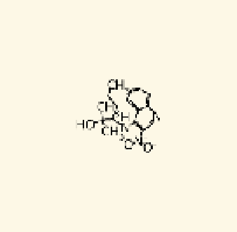 CCC[C@@H](Nc1c([N+](=O)[O-])cnc2ccccc12)C(C)(C)O